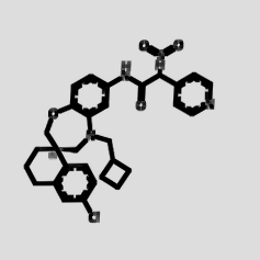 O=C(Nc1ccc2c(c1)N(CC1CCC1)C[C@@]1(CCCc3cc(Cl)ccc31)CO2)C(c1ccncc1)[SH](=O)=O